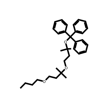 CCCCOCCC(C)(C)OCCC(C)(C)OC(c1ccccc1)(c1ccccc1)c1ccccc1